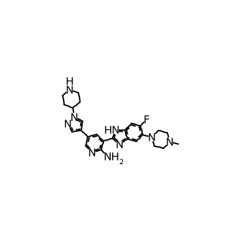 CN1CCN(c2cc3nc(-c4cc(-c5cnn(C6CCNCC6)c5)cnc4N)[nH]c3cc2F)CC1